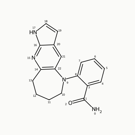 NC(=O)c1ccccc1N1CCCCc2nc3[nH]ccc3cc21